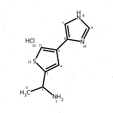 CC(N)c1cc(-c2c[nH]cn2)cs1.Cl